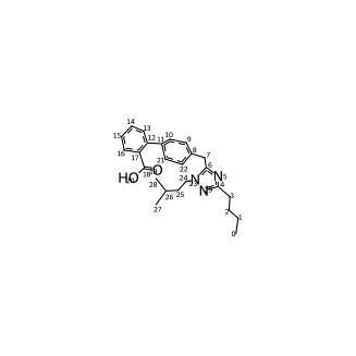 CCCCc1nc(Cc2ccc(-c3ccccc3C(=O)O)cc2)n(CCC(C)C)n1